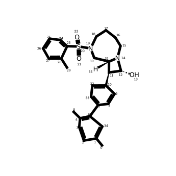 Cc1ccc(C)c(-c2ccc([C@@H]3[C@@H](O)N4CCCCN(S(=O)(=O)c5ccccc5C)C[C@@H]34)cc2)c1